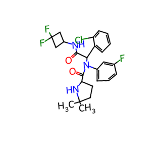 CC1(C)CCC(C(=O)N(c2cccc(F)c2)C(C(=O)NC2CC(F)(F)C2)c2ccccc2Cl)N1